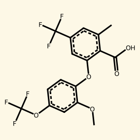 COc1cc(OC(F)(F)F)ccc1Oc1cc(C(F)(F)F)cc(C)c1C(=O)O